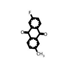 Cc1ccc2c(c1)C(=O)c1ccc(F)cc1C2=O